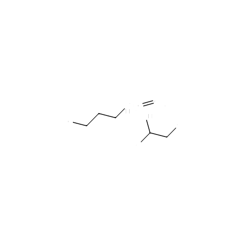 C=C.CCC(C)C.CCCCC